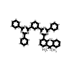 CC1(C)c2ccccc2Sc2c(-c3nc(-c4ccccc4)nc(-c4cccc(-c5nc(-c6ccccc6)nc(-c6ccccc6)n5)c4)n3)cccc21